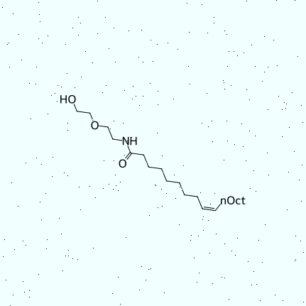 CCCCCCCC/C=C\CCCCCCCC(=O)NCCOCCO